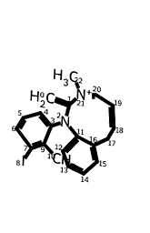 C=C1N(c2cccc(I)c2C)c2ccccc2C/C=C\C=[N+]/1C